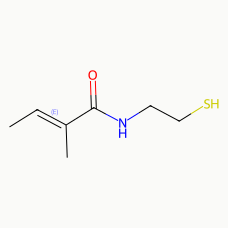 C/C=C(\C)C(=O)NCCS